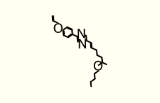 C=CCOc1ccc(-c2cnc(C=CCCCC(C)OCCCCC)cn2)cc1